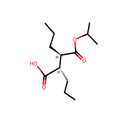 CCC[C@H](C(=O)O)[C@@H](CCC)C(=O)OC(C)C